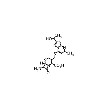 Cc1cc(SCC2=C(C(=O)O)N3C(=O)C(N)[C@@H]3SC2)n2nc(C(C)O)nc2n1